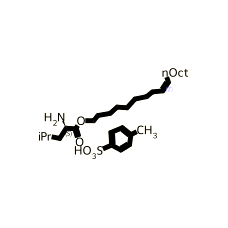 CCCCCCCC/C=C\CCCCCCCCOC(=O)[C@@H](N)CC(C)C.Cc1ccc(S(=O)(=O)O)cc1